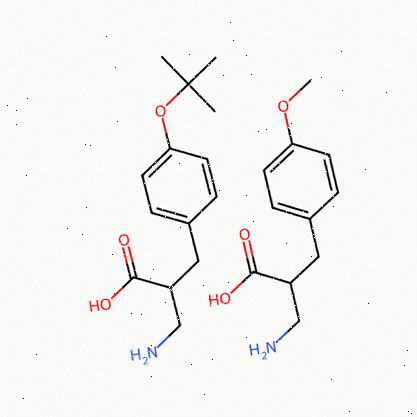 CC(C)(C)Oc1ccc(CC(CN)C(=O)O)cc1.COc1ccc(CC(CN)C(=O)O)cc1